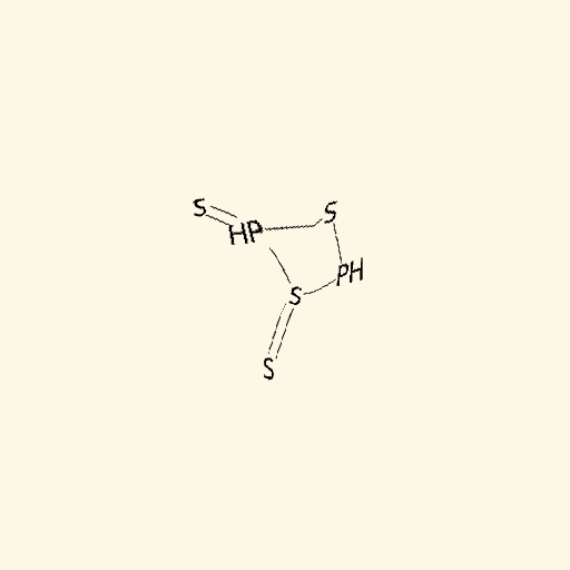 S=[PH]1SPS1=S